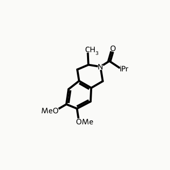 COc1cc2c(cc1OC)CN(C(=O)C(C)C)C(C)C2